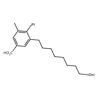 CCCCCCCCCCCCCCCCCCc1cc(C(=O)O)cc(C)c1C(C)C